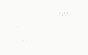 CNC1CCS(=O)(=O)CC1